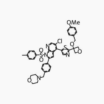 COc1ccc(COC2(c3ncc(-c4c(Cl)cnc5c4cc(-c4ccc(CN6CCOCC6)cc4)n5S(=O)(=O)c4ccc(C)cc4)s3)COC2)cc1